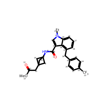 CCn1cc(C(=O)NC23CC(CC(=O)OC)(C2)C3)c2c(Cc3ccc(C(F)(F)F)cc3)cccc21